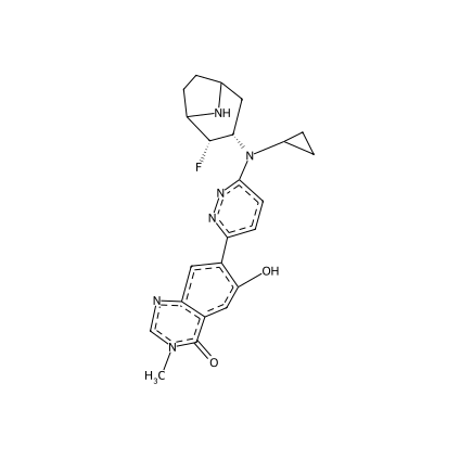 Cn1cnc2cc(-c3ccc(N(C4CC4)[C@H]4CC5CCC(N5)[C@H]4F)nn3)c(O)cc2c1=O